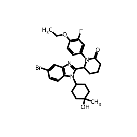 CCOc1ccc(N2C(=O)CCCC2c2nc3cc(Br)ccc3n2C2CCC(C)(O)CC2)cc1F